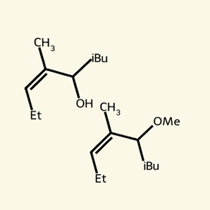 CCC=C(C)C(O)C(C)CC.CCC=C(C)C(OC)C(C)CC